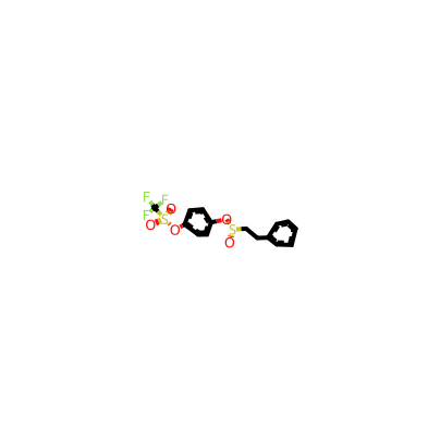 O=S(CCc1ccccc1)Oc1ccc(OS(=O)(=O)C(F)(F)F)cc1